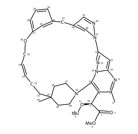 COC(=O)[C@@H](OC(C)(C)C)c1c(C)nc2cc3nn2c1N1CCC(C)(CCC=CCOc2cccc(c2)Cc2cnn-3c2)CC1